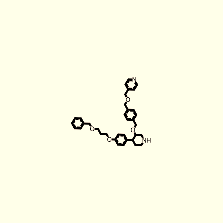 c1ccc(COCCCOc2ccc(C3CCNCC3OCc3ccc(COCc4ccncc4)cc3)cc2)cc1